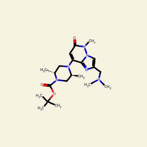 C[C@@H]1CN(c2cc(=O)n(C)n3cc(CN(C)C)nc23)[C@@H](C)CN1C(=O)OC(C)(C)C